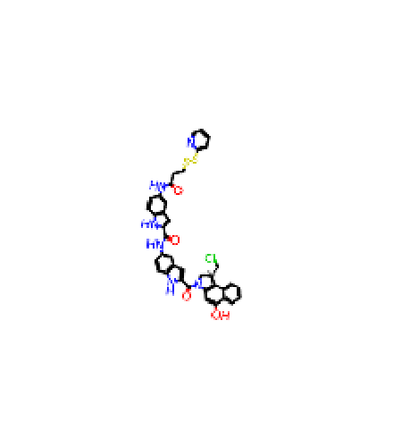 O=C(CCSSc1ccccn1)Nc1ccc2[nH]c(C(=O)Nc3ccc4[nH]c(C(=O)N5C[C@@H](CCl)c6c5cc(O)c5ccccc65)cc4c3)cc2c1